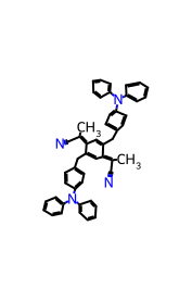 C/C(C#N)=c1\cc(Cc2ccc(N(c3ccccc3)c3ccccc3)cc2)/c(=C(\C)C#N)cc1Cc1ccc(N(c2ccccc2)c2ccccc2)cc1